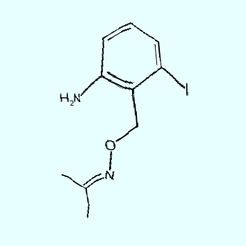 CC(C)=NOCc1c(N)cccc1I